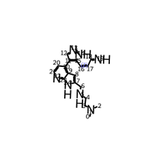 CN(C)CCNCc1cc2c(-c3cn[nH]c3/C=C\C=N)ccnc2[nH]1